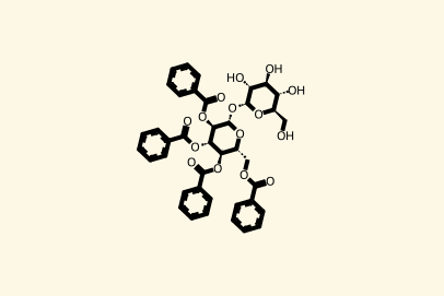 O=C(OC[C@H]1O[C@@H](O[C@H]2O[C@H](CO)[C@@H](O)[C@H](O)[C@H]2O)[C@H](OC(=O)c2ccccc2)[C@@H](OC(=O)c2ccccc2)[C@@H]1OC(=O)c1ccccc1)c1ccccc1